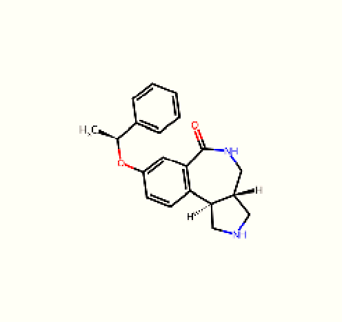 C[C@H](Oc1ccc2c(c1)C(=O)NC[C@@H]1CNC[C@@H]21)c1ccccc1